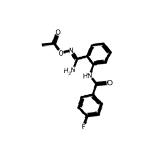 CC(=O)O/N=C(\N)c1ccccc1NC(=O)c1ccc(F)cc1